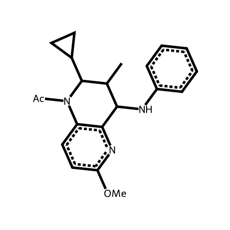 COc1ccc2c(n1)C(Nc1ccccc1)C(C)C(C1CC1)N2C(C)=O